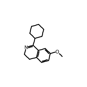 COc1ccc2c(c1)C(C1CCCCC1)=NCC2